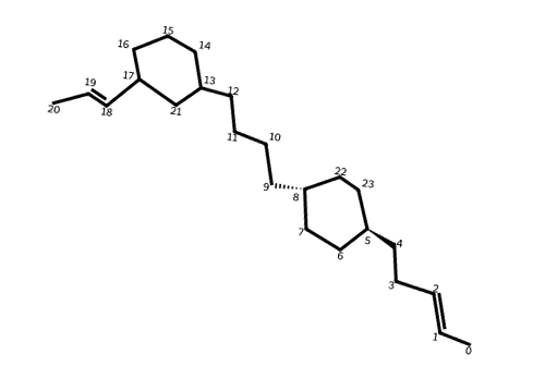 CC=CCC[C@H]1CC[C@H](CCCCC2CCCC(C=CC)C2)CC1